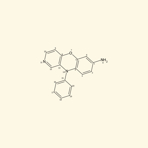 Nc1ccc2c(c1)Oc1ccncc1N2c1ccccc1